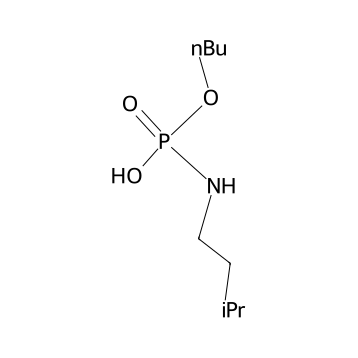 CCCCOP(=O)(O)NCCC(C)C